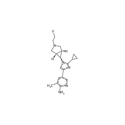 Cc1cc(-c2cn([C@H]3[C@@H]4CN(CCF)C[C@@H]43)c(C3CC3)n2)cnc1N